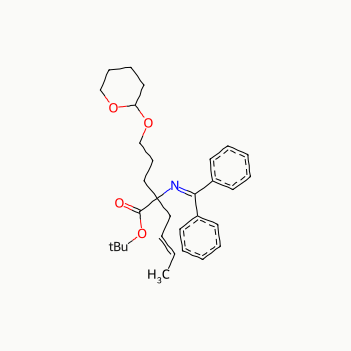 C/C=C/CC(CCCOC1CCCCO1)(N=C(c1ccccc1)c1ccccc1)C(=O)OC(C)(C)C